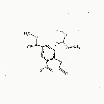 COC(=O)c1ccc(CC=O)c([N+](=O)[O-])c1.COC(C)OC